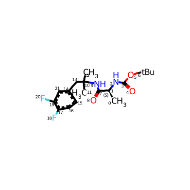 C[C@H](NC(=O)OC(C)(C)C)C(=O)NC(C)(C)Cc1ccc(F)c(F)c1